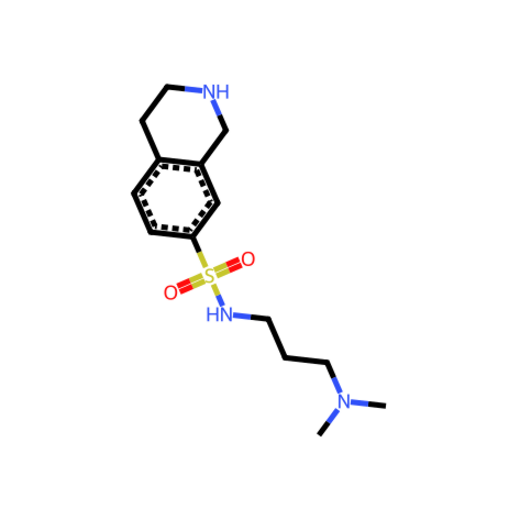 CN(C)CCCNS(=O)(=O)c1ccc2c(c1)CNCC2